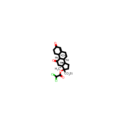 CCOC(=O)C1(OC(=O)C(Cl)Cl)CC[C@H]2[C@@H]3CCC4=CC(=O)CC[C@]4(C)[C@@H]3C(=O)C[C@@]21C